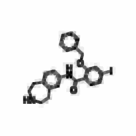 O=C(Nc1ccc2c(c1)CCNCC2)c1ccc(I)cc1OCc1ccccc1